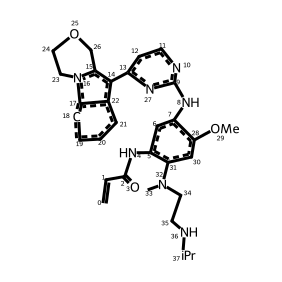 C=CC(=O)Nc1cc(Nc2nccc(-c3c4n(c5ccccc35)CCOC4)n2)c(OC)cc1N(C)CCNC(C)C